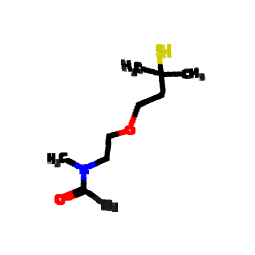 CN(CCOCCC(C)(C)S)C(=O)C(C)(C)C